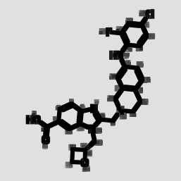 O=C(O)c1ccc2nc(CN3CCc4ccc(Nc5ccc(Cl)cc5F)cc4C3)n(C[C@@H]3CCO3)c2c1